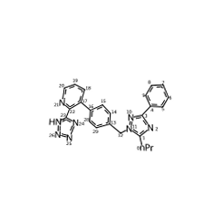 CCCc1nc(-c2ccccc2)nn1Cc1ccc(-c2cccnc2-c2nnn[nH]2)cc1